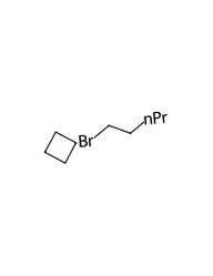 C1CCC1.CCCCCBr